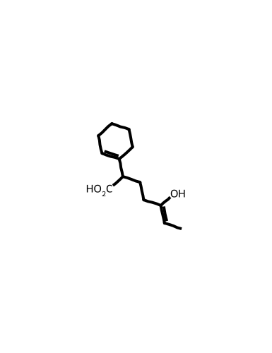 CC=C(O)CCC(C(=O)O)C1=CCCCC1